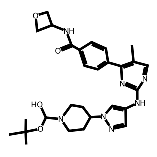 Cc1cnc(Nc2cnn(C3CCN(C(O)OC(C)(C)C)CC3)c2)nc1-c1ccc(C(=O)NC2COC2)cc1